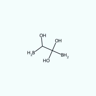 BC(O)C(B)(O)O